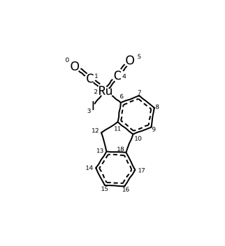 O=[C]=[Ru]([I])(=[C]=O)[c]1cccc2c1Cc1ccccc1-2